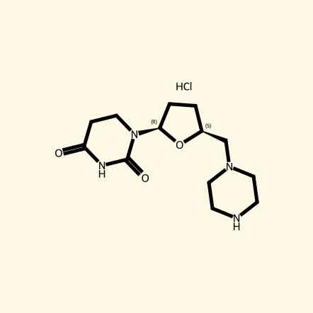 Cl.O=C1CCN([C@H]2CC[C@@H](CN3CCNCC3)O2)C(=O)N1